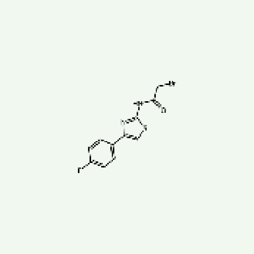 O=C(CBr)Nc1nc(-c2ccc(F)cc2)cs1